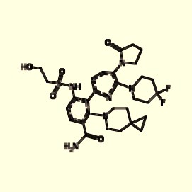 NC(=O)c1ccc(NS(=O)(=O)CCO)c(-c2ccc(N3CCCC3=O)c(N3CCC(F)(F)CC3)n2)c1N1CCC2(CC1)CC2